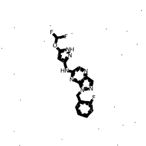 Fc1ccccc1Cn1ncc2ncc(Nc3cc(OC(F)F)[nH]n3)nc21